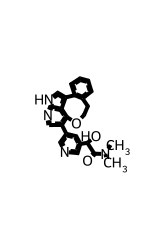 CN(C)C(=O)C(O)c1cncc(-c2cnc3[nH]cc4c3c2OCCc2ccccc2-4)c1